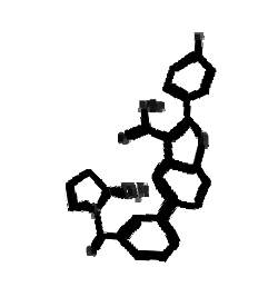 CCOC(=O)[C@@H]1CCCN1C(=O)c1cccc(-c2ccc3oc(-c4ccc(F)cc4)c(C(=O)NC)c3c2)c1